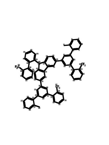 Cc1ccccc1-c1cc(-c2ccc3c(c2)c2cc(-c4cc(-c5ccccc5C)cc(-c5ccccc5C(F)(F)F)c4)ccc2n3-c2ccccc2-c2ccccc2C(F)(F)F)cc(-c2ccccc2C(F)(F)F)c1